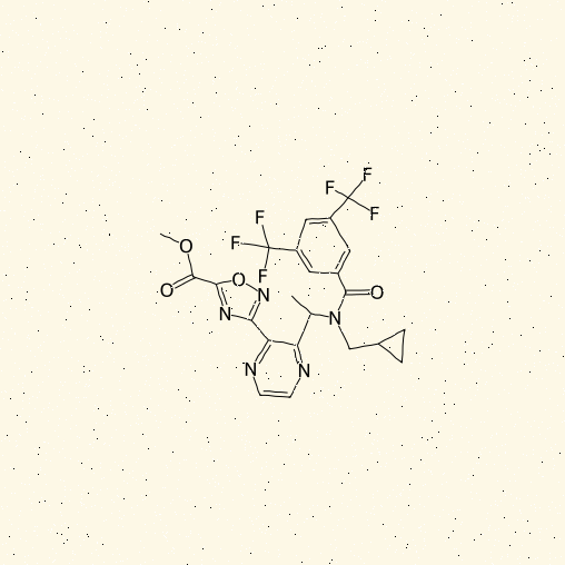 COC(=O)c1nc(-c2nccnc2C(C)N(CC2CC2)C(=O)c2cc(C(F)(F)F)cc(C(F)(F)F)c2)no1